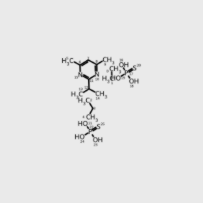 CC.CCC.Cc1cc(C)nc(C(C)C)n1.OP(O)(O)=S.OP(O)(O)=S